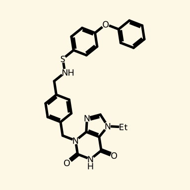 CCn1cnc2c1c(=O)[nH]c(=O)n2Cc1ccc(CNSc2ccc(Oc3ccccc3)cc2)cc1